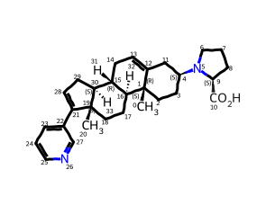 C[C@]12CC[C@H](N3CCC[C@H]3C(=O)O)CC1=CC[C@@H]1[C@@H]2CC[C@]2(C)C(c3cccnc3)=CC[C@@H]12